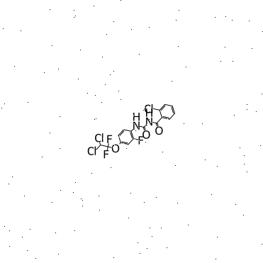 O=C(NC(=O)c1ccccc1Cl)Nc1ccc(OC(F)(F)C(Cl)Cl)cc1F